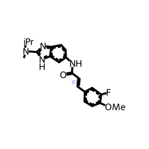 COc1ccc(/C=C/C(=O)Nc2ccc3nc(N(C)C(C)C)[nH]c3c2)cc1F